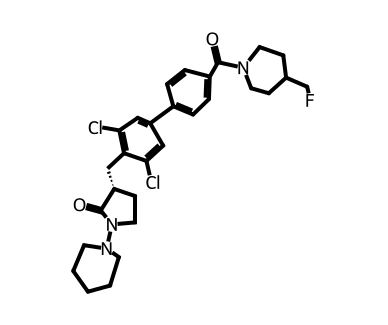 O=C(c1ccc(-c2cc(Cl)c(C[C@@H]3CCN(N4CCCCC4)C3=O)c(Cl)c2)cc1)N1CCC(CF)CC1